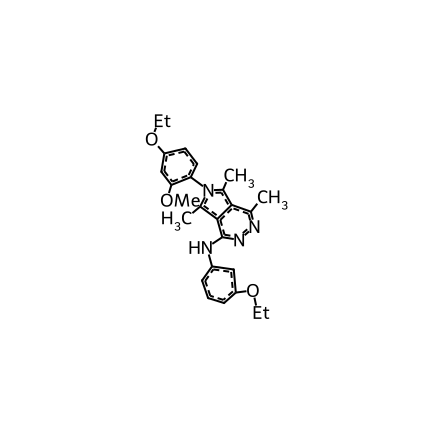 CCOc1cccc(Nc2nnc(C)c3c(C)n(-c4ccc(OCC)cc4OC)c(C)c23)c1